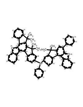 CC1(C)c2cc(N(c3ccccc3)c3ccc4c(c3)C(C)(C)c3c5c(c6oc7ccccc7c6c3-4)-c3ccccc3C5(C)C)ccc2-c2c1cc(-c1ccncc1)c1oc3ccccc3c21